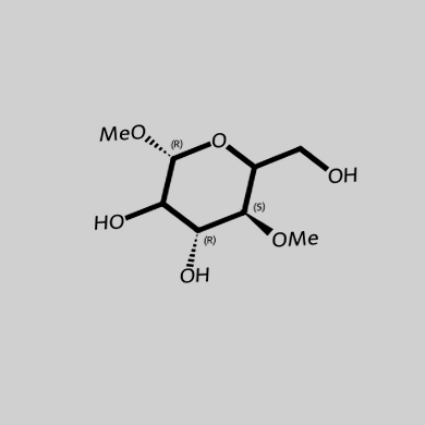 CO[C@@H]1OC(CO)[C@@H](OC)[C@H](O)C1O